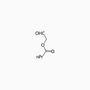 CCCC(=O)OCC=O